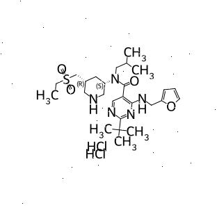 CCS(=O)(=O)C[C@H]1CNC[C@@H](N(CC(C)C)C(=O)c2cnc(C(C)(C)C)nc2NCc2ccco2)C1.Cl.Cl